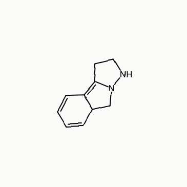 C1=CC2=C3CCNN3CC2C=C1